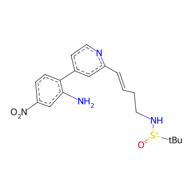 CC(C)(C)[S+]([O-])NCCC=Cc1cc(-c2ccc([N+](=O)[O-])cc2N)ccn1